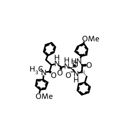 COc1ccc(NC(=O)[C@H](Cc2ccccc2)NS(=O)(=O)NC(=O)NC(Cc2ccccc2)C(=O)N(C)c2ccc(OC)cc2)cc1